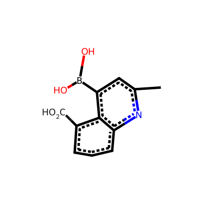 Cc1cc(B(O)O)c2c(C(=O)O)cccc2n1